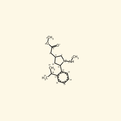 CNN1CC(CC(=O)OC)CC1c1ccccc1C(C)C